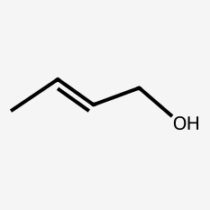 CC=CCO